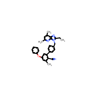 CCc1nc2c(C)cc(C)nc2n1Cc1ccc(-c2cc(Oc3ccccc3)cc(C)c2C#N)cc1